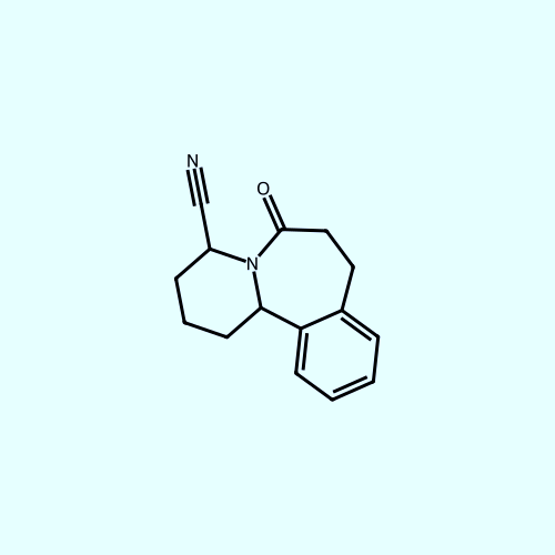 N#CC1CCCC2c3ccccc3CCC(=O)N12